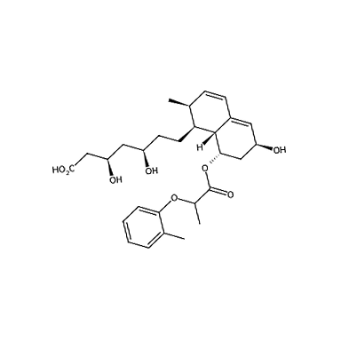 Cc1ccccc1OC(C)C(=O)O[C@H]1C[C@H](O)C=C2C=C[C@H](C)[C@H](CC[C@@H](O)C[C@@H](O)CC(=O)O)[C@H]21